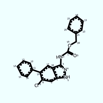 O=C(Nc1n[nH]c2cc(Cl)c(-c3ccccc3)cc12)OCc1ccccc1